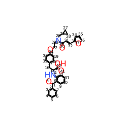 O=C(c1ccccc1)c1ccccc1NC(Cc1ccc(OCCN(CC2CC2)C(=O)C=Cc2ccco2)cc1)C(=O)O